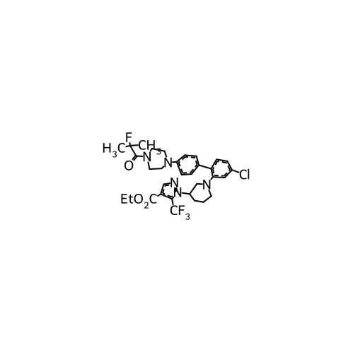 CCOC(=O)c1cnn(C2CCCN(c3cc(Cl)ccc3-c3ccc(N4CCN(C(=O)C(C)(C)F)CC4)cc3)C2)c1C(F)(F)F